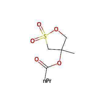 CCCC(=O)OC1(C)COS(=O)(=O)C1